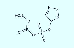 O=[PH](OS(=O)(=O)O)OS(=O)(=O)On1ccnc1